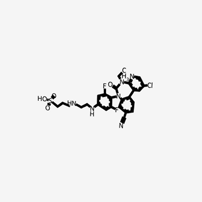 CCN1C(=O)N(c2c(F)cc(NCCNCCCS(=O)(=O)O)cc2F)c2cc(C#N)ccc2-c2cc(Cl)cnc21